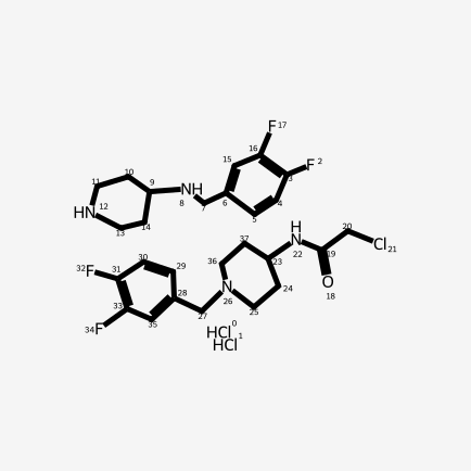 Cl.Cl.Fc1ccc(CNC2CCNCC2)cc1F.O=C(CCl)NC1CCN(Cc2ccc(F)c(F)c2)CC1